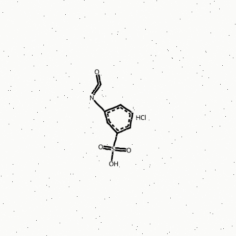 Cl.O=C=Nc1cccc(S(=O)(=O)O)c1